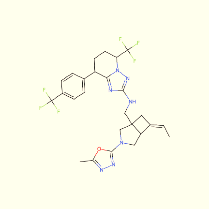 C/C=C1/CC2(CNc3nc4n(n3)C(C(F)(F)F)CCC4c3ccc(C(F)(F)F)cc3)CN(c3nnc(C)o3)CC12